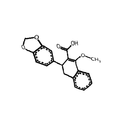 COC1=C(C(=O)O)C(c2ccc3c(c2)OCO3)Cc2ccccc21